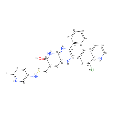 Cc1ccc(NSCc2cc3nc(-c4cc(Cl)c5ncccc5c4)c(-c4ccccc4)nc3[nH]c2=O)cn1